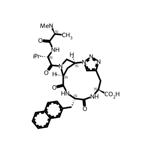 CN[C@@H](C)C(=O)N[C@H](C(=O)N1C[C@@H]2C[C@H]1C(=O)N[C@@H](Cc1ccc3ccccc3c1)C(=O)N[C@H](C(=O)O)Cc1cn2nn1)C(C)C